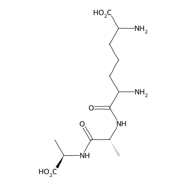 C[C@@H](NC(=O)[C@@H](C)NC(=O)C(N)CCCC(N)C(=O)O)C(=O)O